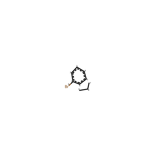 Brc1ccccc1.CCC